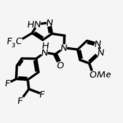 COc1cc(N(Cc2cc(C(F)(F)F)[nH]n2)C(=O)Nc2ccc(F)c(C(F)F)c2)cnn1